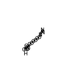 Cn1c2ccncc2c2ccc(N3CCC(OCCOCCOCCOCCOCCOc4ccc5c(c4)C(=O)N(C4CCC(=O)NC4=O)C5=O)CC3)cc21